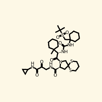 CC1([C@H](NC(=O)NC2(CS(=O)(=O)C(C)(C)C)CCCCC2)C(=O)N2CC3(C[C@H]2C(=O)NCC(=O)C(=O)NC2CC2)SCCCS3)CCCCC1